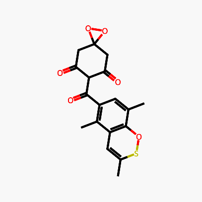 CC1=Cc2c(C)c(C(=O)C3C(=O)CC4(CC3=O)OO4)cc(C)c2OS1